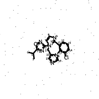 CC(C)c1nc([N+]23C=CN=C2c2cccc(Cl)c2-n2cncc2C3)no1